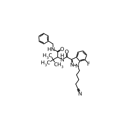 CC(C)(C)C(NC(=O)c1nn(CCCCC#N)c2c(F)cccc12)C(=O)NCc1ccccc1